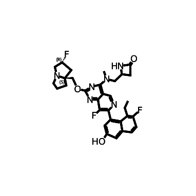 CCc1c(F)ccc2cc(O)cc(-c3ncc4c(N(C)CC5CC(=O)N5)nc(OC[C@@]56CCCN5C[C@H](F)C6)nc4c3F)c12